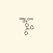 COC(=O)[C@H](CC=O)c1ccc(N(Cc2ccccc2)Cc2ccccc2)cc1